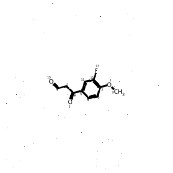 COc1ccc(C(=O)CC=O)cc1F